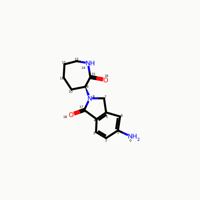 Nc1ccc2c(c1)CN([C@H]1CCCCNC1=O)C2=O